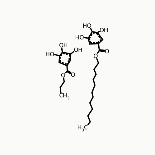 CCCCCCCCCCCCOC(=O)c1cc(O)c(O)c(O)c1.CCCOC(=O)c1cc(O)c(O)c(O)c1